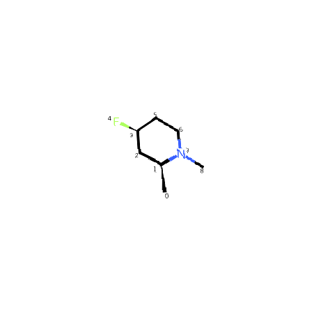 C[C@H]1C[C@@H](F)CCN1C